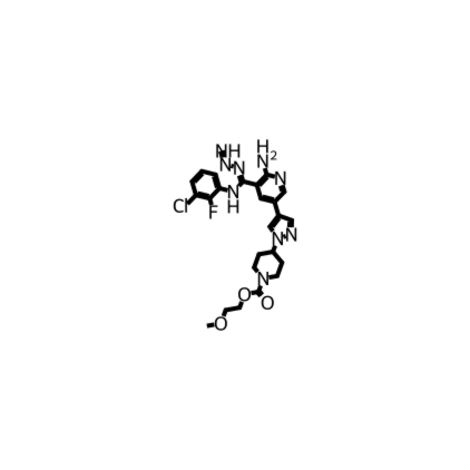 COCCOC(=O)N1CCC(n2cc(-c3cnc(N)c(/C(=N/N=N)Nc4cccc(Cl)c4F)c3)cn2)CC1